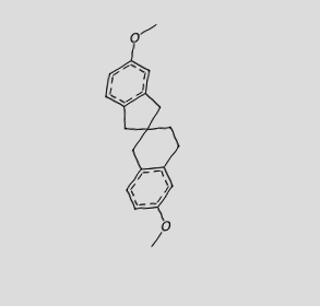 COc1ccc2c(c1)CCC1(C2)Cc2ccc(OC)cc2C1